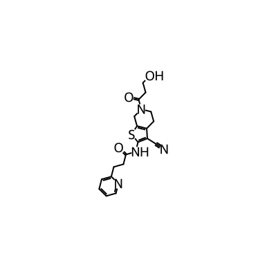 N#Cc1c(NC(=O)CCc2ccccn2)sc2c1CCN(C(=O)CCO)C2